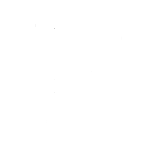 CCN(CC)c1ccc2c(-c3ccc(NC(=S)NCCC[Si](OC)(OC)OC)cc3C(=O)O)c3ccc(N(CC)CC)cc3[o+]c2c1.[Cl-]